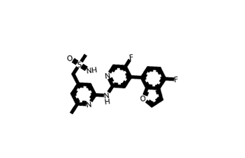 Cc1cc(CS(C)(=N)=O)cc(Nc2cc(-c3ccc(F)c4ccoc34)c(F)cn2)n1